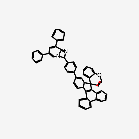 C1=CC2c3c(c4ccccc4c4ccccc34)C3(c4ccccc4Oc4ccccc43)C2C=C1c1ccc(C2N=C3C(c4ccccc4)=CC(c4ccccc4)=CN32)cc1